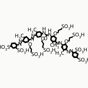 Cc1cc(NC(=O)Nc2cc(C)c(N=Nc3cc(C)c(N=Nc4ccc(S(=O)(=O)O)cc4S(=O)(=O)O)cc3OCCCS(=O)(=O)O)cc2OCCCS(=O)(=O)O)c(OCCCS(=O)(=O)O)cc1N=Nc1cc(C)c(N=Nc2ccc(S(=O)(=O)O)cc2S(=O)(=O)O)cc1OCCCS(=O)(=O)O